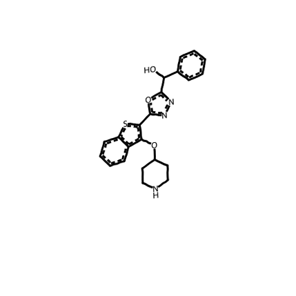 OC(c1ccccc1)c1nnc(-c2sc3ccccc3c2OC2CCNCC2)o1